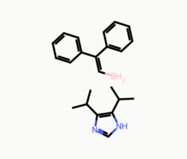 BC=C(c1ccccc1)c1ccccc1.CC(C)c1nc[nH]c1C(C)C